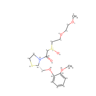 COCCOCC[S+]([O-])CC(=O)N1CCS[C@H]1COc1ccccc1OC